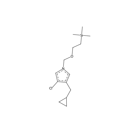 C[Si](C)(C)CCOCn1cc(Cl)c(CC2CC2)c1